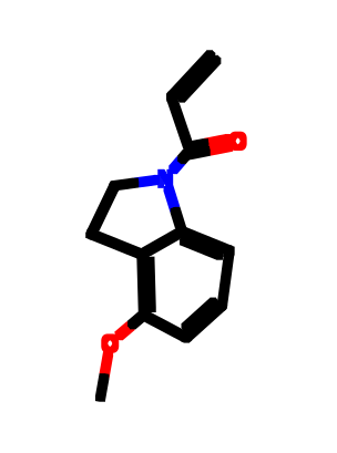 C=CC(=O)N1CCc2c(OC)cccc21